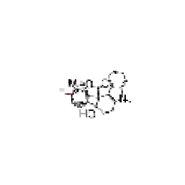 COC(=O)C1(c2ccc(F)cc2)c2c(n(C)c3ccccc23)CCC1(O)c1ccccc1